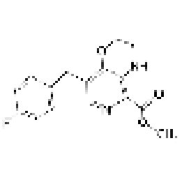 COC(=O)c1ncc(Cc2ccc(F)cc2)c2c1NCCO2